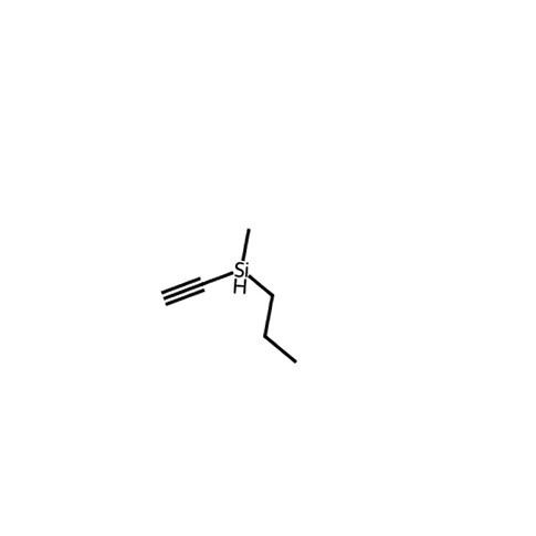 C#C[SiH](C)CCC